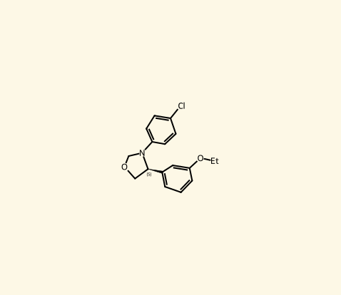 CCOc1cccc([C@H]2COCN2c2ccc(Cl)cc2)c1